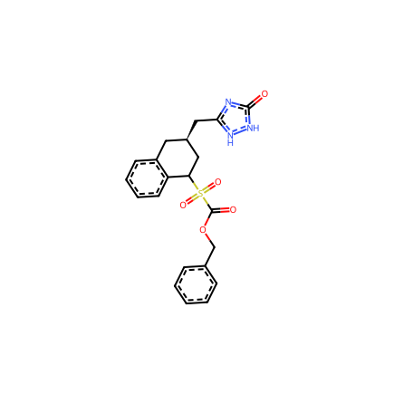 O=C(OCc1ccccc1)S(=O)(=O)C1C[C@H](Cc2nc(=O)[nH][nH]2)Cc2ccccc21